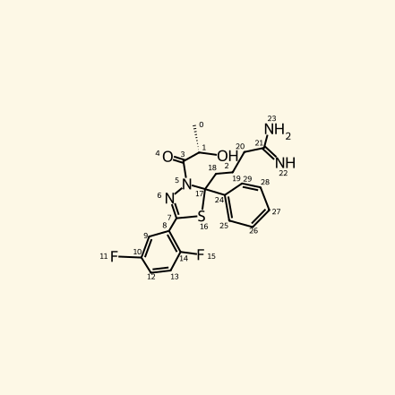 C[C@H](O)C(=O)N1N=C(c2cc(F)ccc2F)SC1(CCCC(=N)N)c1ccccc1